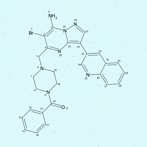 Nc1c(Br)c(CN2CCN(C(=O)c3ccccc3)CC2)nc2c(-c3cnc4ccccc4c3)cnn12